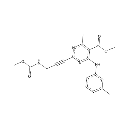 COC(=O)NCC#Cc1nc(C)c(C(=O)OC)c(Nc2cccc(C)c2)n1